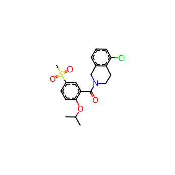 CC(C)Oc1ccc(S(C)(=O)=O)cc1C(=O)N1CCc2c(Cl)cccc2C1